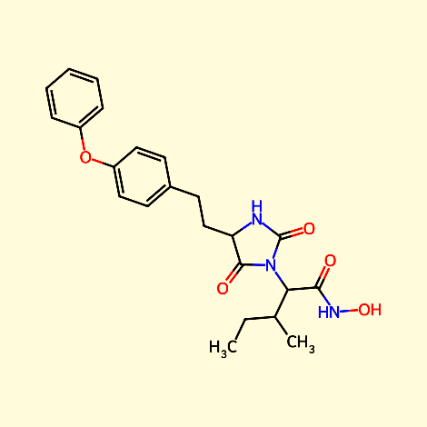 CCC(C)C(C(=O)NO)N1C(=O)NC(CCc2ccc(Oc3ccccc3)cc2)C1=O